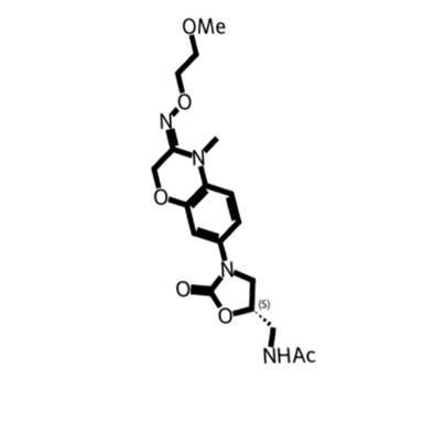 COCCON=C1COc2cc(N3C[C@H](CNC(C)=O)OC3=O)ccc2N1C